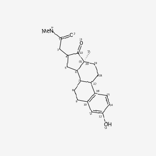 CNC(=O)CC1CC2C3CCc4cc(O)ccc4C3CC[C@]2(C)C1=O